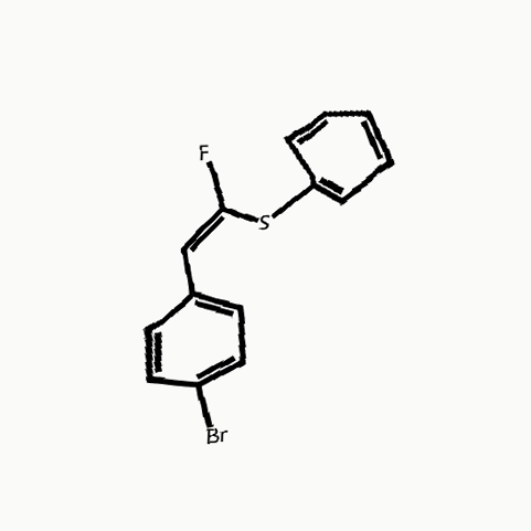 FC(=Cc1ccc(Br)cc1)Sc1ccccc1